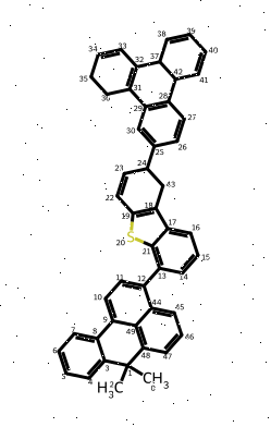 CC1(C)c2ccccc2-c2ccc(-c3cccc4c5c(sc34)C=CC(c3ccc4c(c3)C3=C(C=CCC3)C3C=CC=CC43)C5)c3cccc1c23